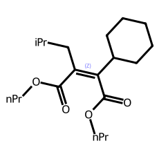 CCCOC(=O)/C(CC(C)C)=C(\C(=O)OCCC)C1CCCCC1